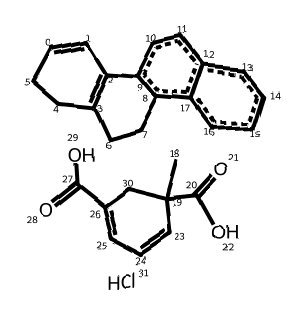 C1=CC2=C(CC1)CCc1c2ccc2ccccc12.CC1(C(=O)O)C=CC=C(C(=O)O)C1.Cl